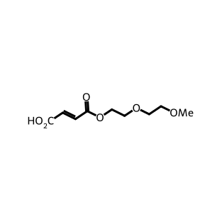 COCCOCCOC(=O)/C=C/C(=O)O